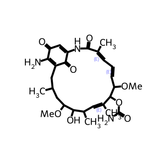 COC1/C=C/C=C(\C)C(=O)NC2=CC(=O)C(N)=C(CC(C)CC(OC)C(O)C(C)/C=C(\C)C1OC(N)=O)C2=O